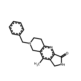 Cc1c2c(nc3c1CNC3=O)CCN(Cc1ccccc1)C2